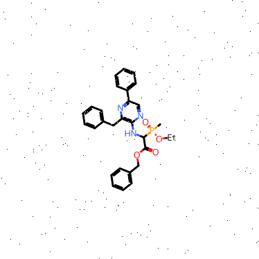 CCOP(C)(=O)C(Nc1ncc(-c2ccccc2)nc1Cc1ccccc1)C(=O)OCc1ccccc1